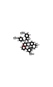 Cc1cc2c3c(c1)N(c1ccc(C(C)(C)C)cc1)c1c(oc4ccc(C(C)(C)C)cc14)B3c1ccc3c(c1N2c1ccc(C(C)(C)C)cc1-c1ccccc1)C(C)(C)CCC3(C)C